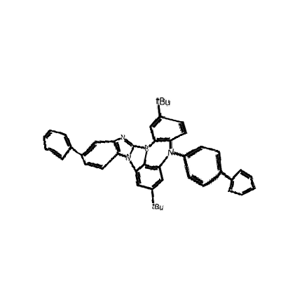 CC(C)(C)c1ccc2c(c1)B1c3c(cc(C(C)(C)C)cc3-n3c1nc1cc(-c4ccccc4)ccc13)N2c1ccc(-c2ccccc2)cc1